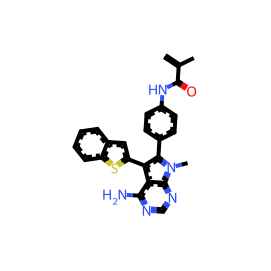 C=C(C)C(=O)Nc1ccc(-c2c(-c3cc4ccccc4s3)c3c(N)ncnc3n2C)cc1